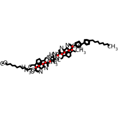 CCCCCCCCc1ccc(-c2ccc(-c3cnc4c(c3)C3(c5cc(C6=NC7=NC(c8cnc9c(c8)C8(c%10cc(OCCCCCCCCCCOC)cnc%10-9)C9(C(CC)CC)CCC8(C(CC)CC)CC9)=NC7=N6)cnc5-4)C4(C(CC)CC)CCC3(C(CC)CC)CC4)cc2)cc1